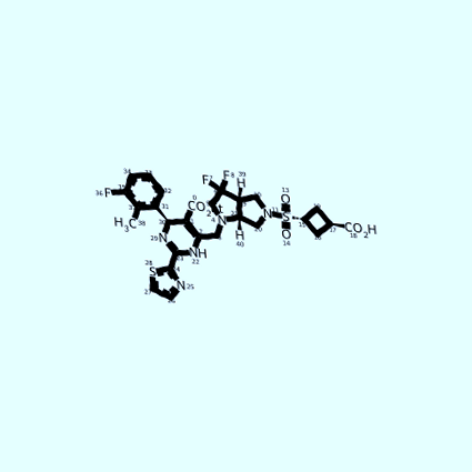 CCOC(=O)C1=C(CN2CC(F)(F)[C@@H]3CN(S(=O)(=O)[C@H]4C[C@H](C(=O)O)C4)C[C@@H]32)NC(c2nccs2)=N[C@H]1c1cccc(F)c1C